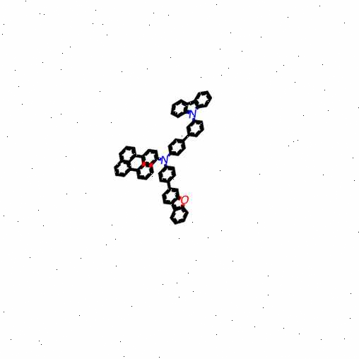 c1ccc(-c2cccc3cccc(-c4ccc(N(c5ccc(-c6cccc(-n7c8ccccc8c8ccccc87)c6)cc5)c5ccc(-c6ccc7c(c6)oc6ccccc67)cc5)cc4)c23)cc1